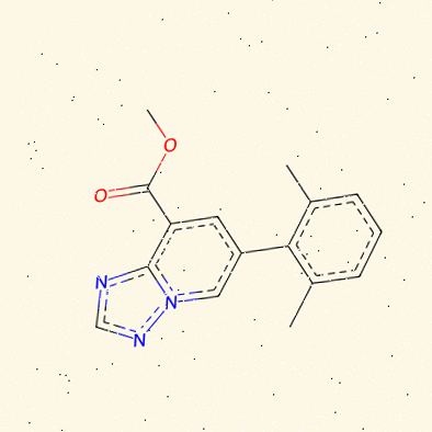 COC(=O)c1cc(-c2c(C)cccc2C)cn2ncnc12